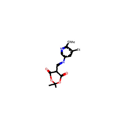 CCc1cc(/N=C/C2C(=O)OC(C)(C)OC2=O)cnc1OC